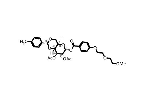 COCCOCCOc1ccc(C(=O)O[C@@H]2O[C@@H]3CO[C@@H](c4ccc(C)cc4)O[C@H]3[C@H](OC(C)=O)[C@H]2OC(C)=O)cc1